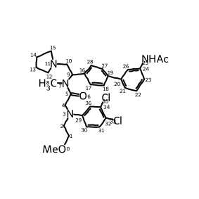 COCCN(CC(=O)N(C)C(CN1CCCC1)c1ccc(-c2cccc(NC(C)=O)c2)cc1)c1ccc(Cl)c(Cl)c1